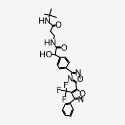 CC(C)(C)NC(=O)CCNC(=O)C(O)c1ccc(-c2noc(-c3onc(-c4ccccc4)c3C(F)(F)F)n2)cc1